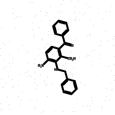 O=C(c1ccccc1)c1ccc([N+](=O)[O-])c(NCc2ccccc2)c1C(=O)O